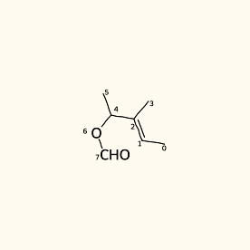 CC=C(C)C(C)OC=O